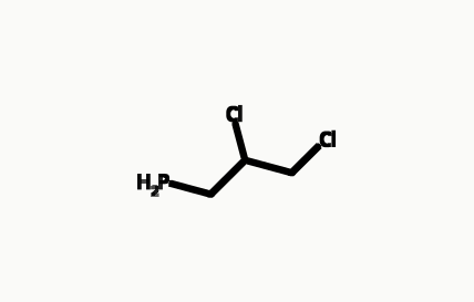 PCC(Cl)CCl